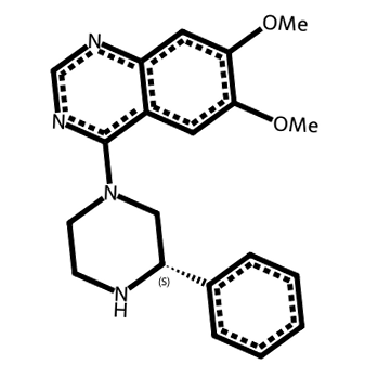 COc1cc2ncnc(N3CCN[C@@H](c4ccccc4)C3)c2cc1OC